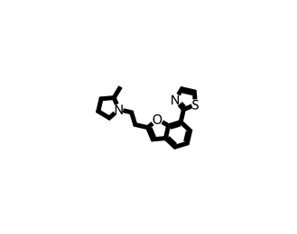 CC1CCCN1CCc1cc2cccc(-c3nccs3)c2o1